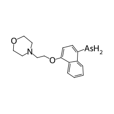 [AsH2]c1ccc(OCCN2CCOCC2)c2ccccc12